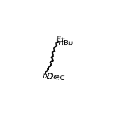 [CH2]CCCCCCCCCCCCCCCCCCCCCCC(CC)CCC[CH2]